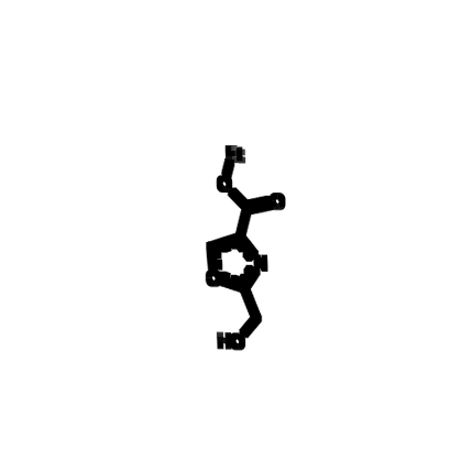 CCOC(=O)c1coc(CO)n1